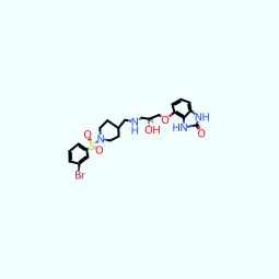 O=c1[nH]c2cccc(OC[C@H](O)CNCC3CCN(S(=O)(=O)c4cccc(Br)c4)CC3)c2[nH]1